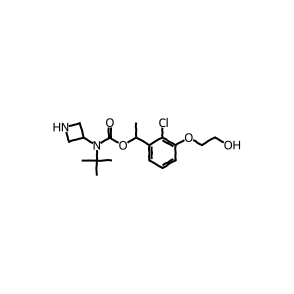 CC(OC(=O)N(C1CNC1)C(C)(C)C)c1cccc(OCCO)c1Cl